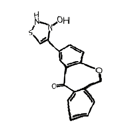 O=C1c2ccccc2COc2ccc(C3=CSNN3O)cc21